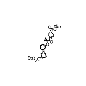 CCOC(=O)[C@@H]1CCCN(c2cccc(OC3(C(=O)N4CCN(C(=O)OC(C)(C)C)CC4)CC3)c2)C1